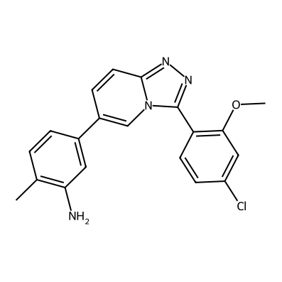 COc1cc(Cl)ccc1-c1nnc2ccc(-c3ccc(C)c(N)c3)cn12